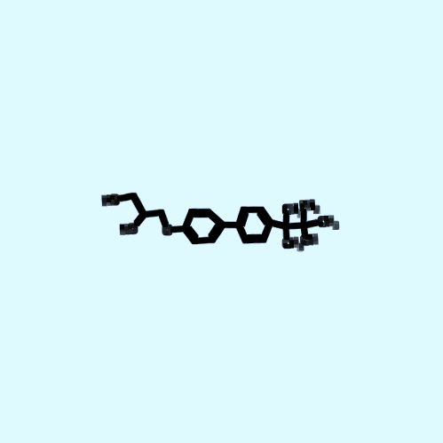 CC(O)(P)C(C)(C)c1ccc(-c2ccc(OCC(O)CO)cc2)cc1